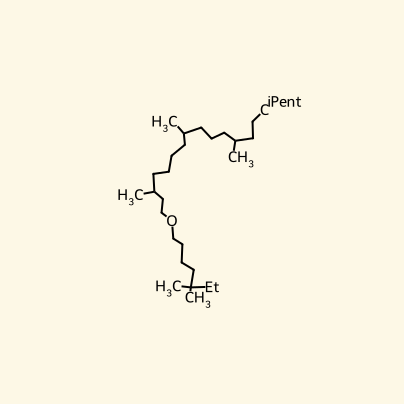 CCCC(C)CCCC(C)CCCC(C)CCCCC(C)CCOCCCCC(C)(C)CC